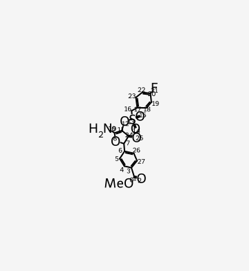 COC(=O)c1ccc(C2OC(N)=C(OS(=O)(=O)Cc3ccc(F)cc3)C2=O)cc1